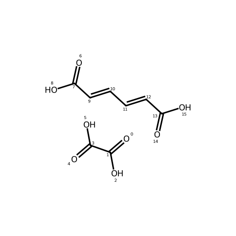 O=C(O)C(=O)O.O=C(O)C=CC=CC(=O)O